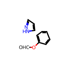 O=COc1ccccc1.c1cn[nH]c1